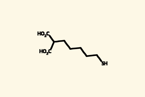 O=C(O)C(CCCCCS)C(=O)O